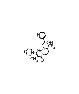 C[C@@H]1COCCN1c1cc(=O)n2c(n1)N(CC(O)c1cccnc1)C(C(F)(F)F)CC2